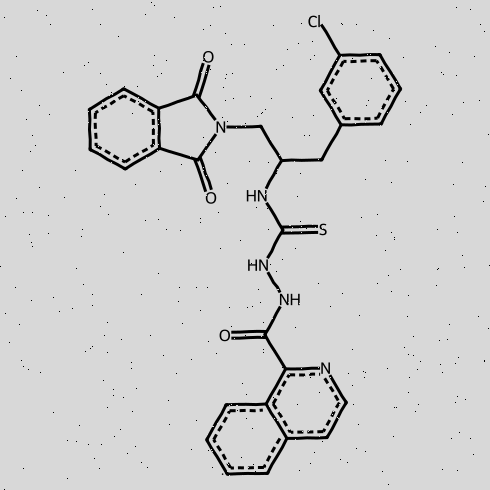 O=C(NNC(=S)NC(Cc1cccc(Cl)c1)CN1C(=O)c2ccccc2C1=O)c1nccc2c[c]ccc12